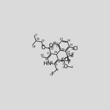 COC(=O)C1=C(CF)NC(C)=C(C(=O)OCC(C)C)C1c1c(F)ccc(Cl)c1C(F)(F)F